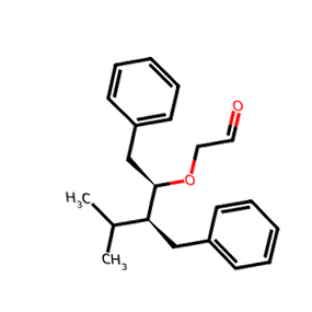 CC(C)[C@H](Cc1ccccc1)[C@@H](Cc1ccccc1)OCC=O